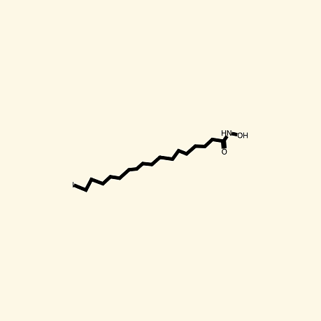 O=C(CCCCCCCCCCCCCCCCI)NO